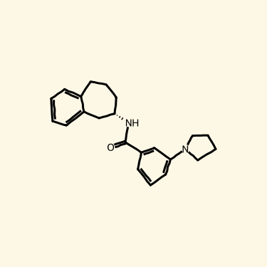 O=C(N[C@H]1CCCc2ccccc2C1)c1cccc(N2CCCC2)c1